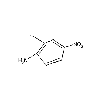 [CH2]c1cc([N+](=O)[O-])ccc1N